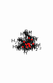 CC[C@H](C)[C@H](C)C(=O)N[C@@H](CCC(=O)O)C(=O)NCC(=O)N[C@@H](CC(C)C)C(=O)N[C@@H](CCCNC(=N)N)C(=O)N[C@@H](CCCCN)C(=O)N[C@@H](CCCNC(=N)N)C(=O)N[C@@H](CCCNC(=N)N)C(=O)N[C@@H](CCCNC(=N)N)C(=O)N[C@@H](CC(C)C)C(=O)N[C@@H](CC(C)C)C(=O)N[C@@H](C)C(N)=O